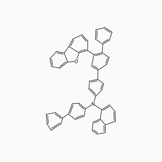 c1ccc(-c2ccc(N(c3ccc(-c4ccc(-c5ccccc5)c(-c5cccc6c5oc5ccccc56)c4)cc3)c3cccc4ccccc34)cc2)cc1